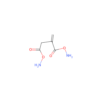 C=C(CC(=O)ON)C(=O)ON